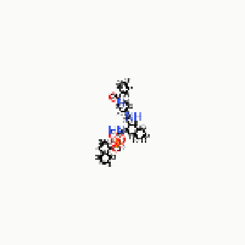 CP(=O)(OC(=O)Nc1cc2ccccc2cc1CNC1CCN(C(=O)c2ccccc2)CC1)Oc1cccc2ccccc12